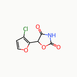 O=C1NC(=O)C(c2occc2Cl)O1